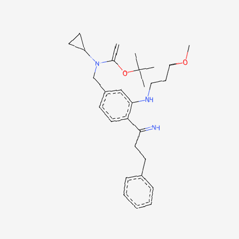 C=C(OC(C)(C)C)N(Cc1ccc(C(=N)CCc2ccccc2)c(NCCCOC)c1)C1CC1